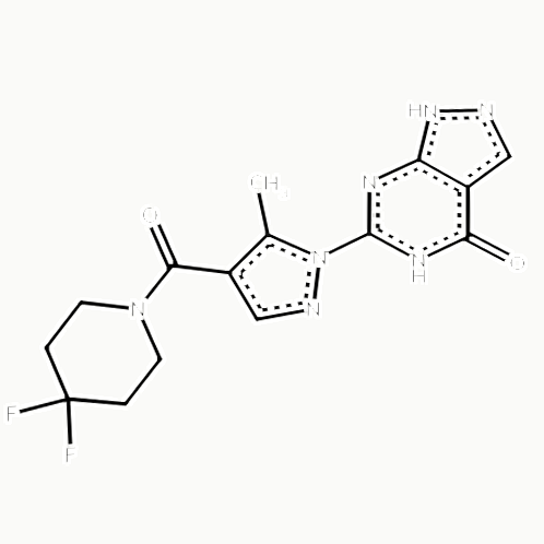 Cc1c(C(=O)N2CCC(F)(F)CC2)cnn1-c1nc2[nH]ncc2c(=O)[nH]1